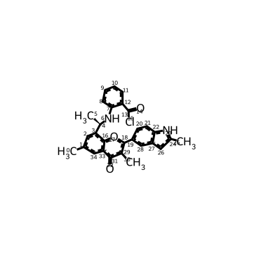 Cc1cc([C@@H](C)Nc2ccccc2C(=O)Cl)c2oc(-c3ccc4[nH]c(C)cc4c3)c(C)c(=O)c2c1